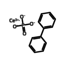 O=P([O-])([O-])[O-].[Ce+3].c1ccc(-c2ccccc2)cc1